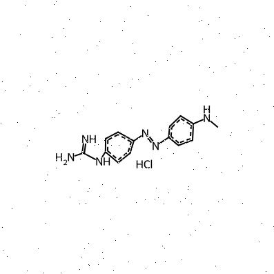 CNc1ccc(N=Nc2ccc(NC(=N)N)cc2)cc1.Cl